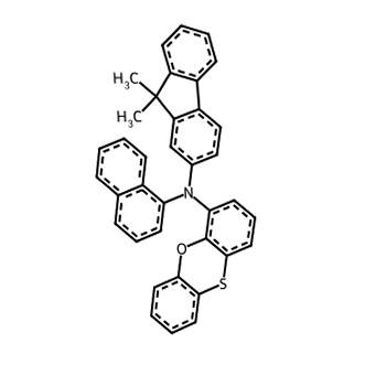 CC1(C)c2ccccc2-c2ccc(N(c3cccc4c3Oc3ccccc3S4)c3cccc4ccccc34)cc21